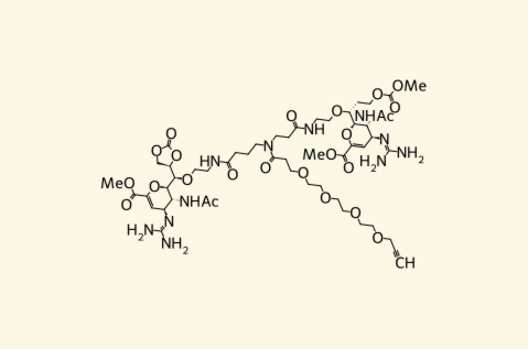 C#CCOCCOCCOCCOCCC(=O)N(CCCC(=O)NCCO[C@@H]([C@@H]1OC(C(=O)OC)=C[C@H](N=C(N)N)[C@H]1NC(C)=O)[C@H]1COC(=O)O1)CCC(=O)NCCO[C@H](CCOC(=O)OC)[C@@H]1OC(C(=O)OC)=C[C@H](N=C(N)N)[C@H]1NC(C)=O